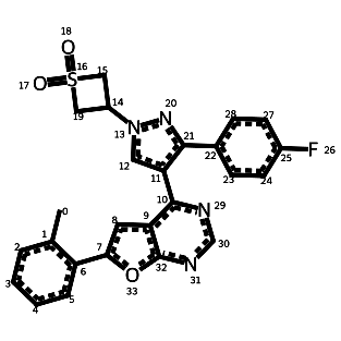 Cc1ccccc1-c1cc2c(-c3cn(C4CS(=O)(=O)C4)nc3-c3ccc(F)cc3)ncnc2o1